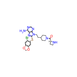 Nc1ncnc2c1nc(Sc1cc3c(cc1Br)OCO3)n2CCC1CCN(C(=O)[C@@H]2CCN2)CC1